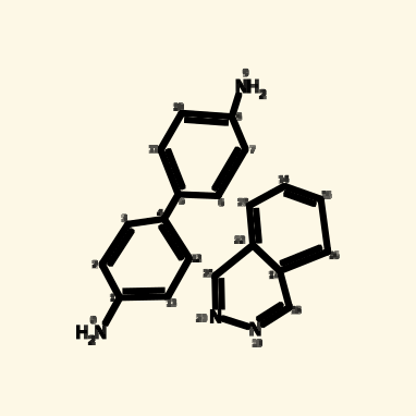 Nc1ccc(-c2ccc(N)cc2)cc1.c1ccc2cnncc2c1